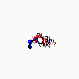 CC[C@H]1OC(=O)CC(=O)C[C@@H](O[C@@H]2O[C@H](C)CC(N(C)C)C2O)[C@](C)(OC)C[C@@H](C)CN[C@H](C)[C@H]2N(CCCCn3cc(-c4ccccn4)nn3)C(=O)O[C@]12C